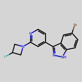 FC1CN(c2cc(-c3n[nH]c4ccc(Br)cc34)ccn2)C1